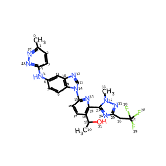 Cc1ccc(Nc2ccc3c(c2)ncn3-c2ccc(C(C)O)c(-c3nc(CC(F)(F)F)nn3C)n2)nn1